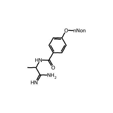 CCCCCCCCCOc1ccc(C(=O)NC(C)C(=N)N)cc1